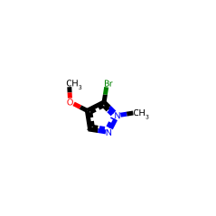 COc1[c]nn(C)c1Br